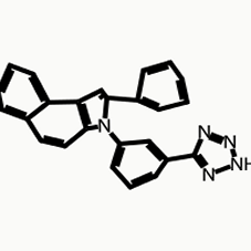 c1ccc(-c2cc3c4ccccc4ccc3n2-c2cccc(-c3nn[nH]n3)c2)cc1